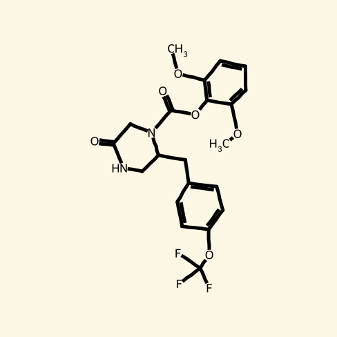 COc1cccc(OC)c1OC(=O)N1CC(=O)NCC1Cc1ccc(OC(F)(F)F)cc1